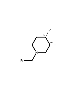 CC(C)CN1CC[C@H](C)[C@H](C)C1